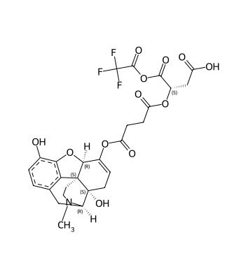 CN1CC[C@]23c4c5ccc(O)c4O[C@H]2C(OC(=O)CCC(=O)O[C@@H](CC(=O)O)C(=O)OC(=O)C(F)(F)F)=CC[C@@]3(O)[C@H]1C5